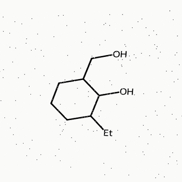 CCC1CCCC(CO)C1O